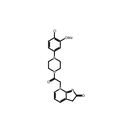 COc1cc(N2CCN(C(=O)CN3C=CC=C4CC(=O)N=C43)CC2)ccc1Cl